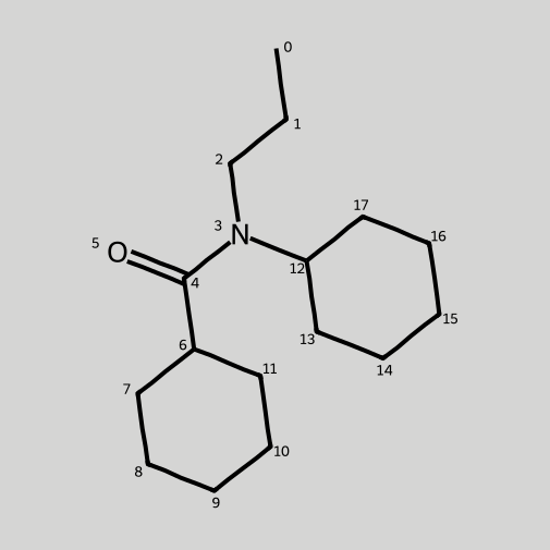 CCCN(C(=O)C1CCCCC1)C1CCCCC1